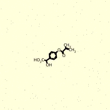 C=C(C)C(=O)Oc1ccc(C(O)C(=O)O)cc1